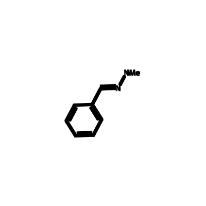 CNN=Cc1ccccc1